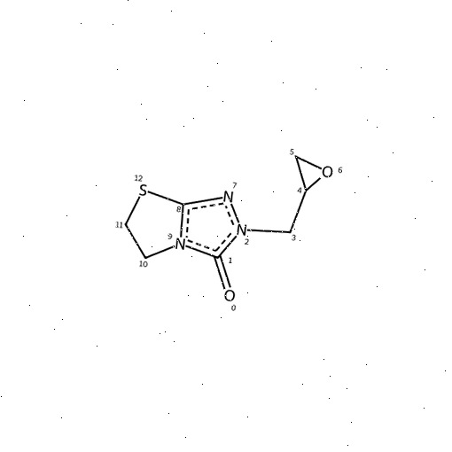 O=c1n(CC2CO2)nc2n1CCS2